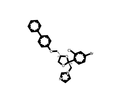 Clc1cc(Br)ccc1[C@]1(Cn2ccnc2)OC[C@H](COc2ccc(-c3ccccc3)cc2)O1